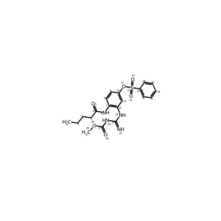 CCCCC(=O)Nc1ccc(OS(=O)(=O)c2ccccc2)cc1NC(=N)NC(=O)OC